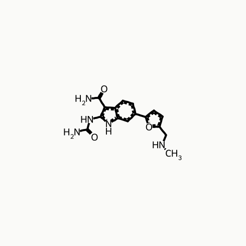 CNCc1ccc(-c2ccc3c(C(N)=O)c(NC(N)=O)[nH]c3c2)o1